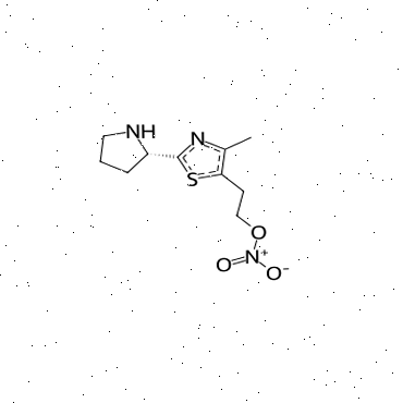 Cc1nc([C@@H]2CCCN2)sc1CCO[N+](=O)[O-]